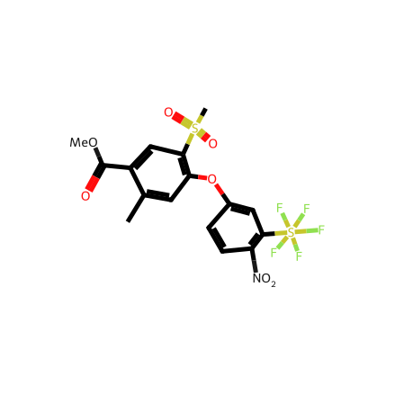 COC(=O)c1cc(S(C)(=O)=O)c(Oc2ccc([N+](=O)[O-])c(S(F)(F)(F)(F)F)c2)cc1C